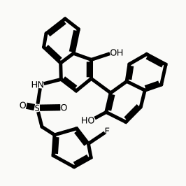 O=S(=O)(Cc1cccc(F)c1)Nc1cc(-c2c(O)ccc3ccccc23)c(O)c2ccccc12